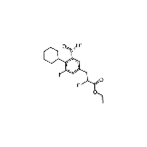 CCOC(=O)C(Cl)Cc1cc(I)c(C2CCCCC2)c([N+](=O)[O-])c1